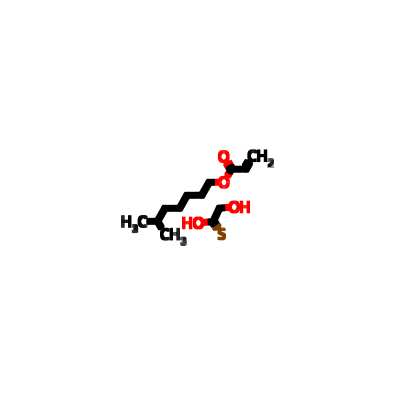 C=CC(=O)OCCCCCC(C)C.OCC(O)=S